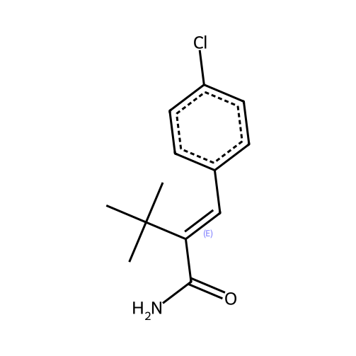 CC(C)(C)/C(=C\c1ccc(Cl)cc1)C(N)=O